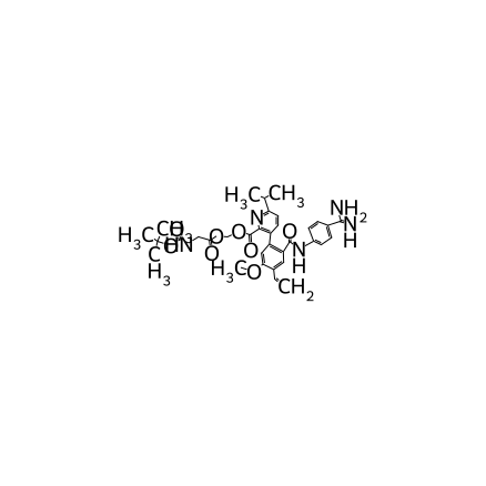 C=Cc1cc(C(=O)Nc2ccc(C(=N)N)cc2)c(-c2ccc(C(C)C)nc2C(=O)OCOC(=O)CNC(=O)OC(C)(C)C)cc1OC